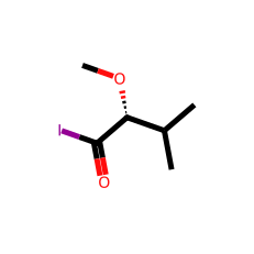 CO[C@@H](C(=O)I)C(C)C